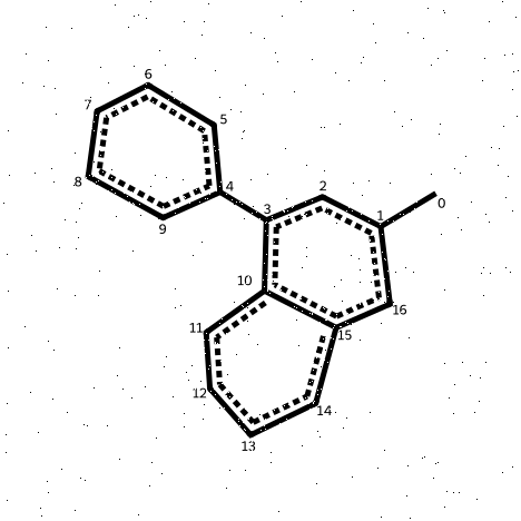 Cc1cc(-c2ccccc2)c2ccccc2c1